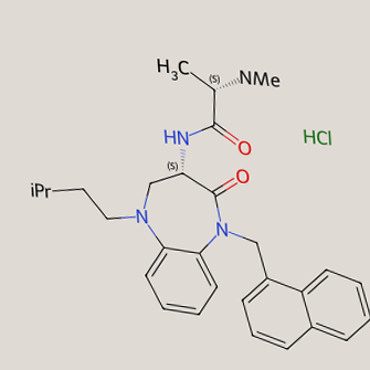 CN[C@@H](C)C(=O)N[C@H]1CN(CCC(C)C)c2ccccc2N(Cc2cccc3ccccc23)C1=O.Cl